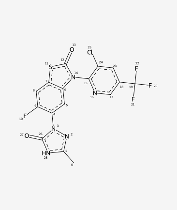 Cc1nn(-c2cc3c(cc2F)sc(=O)n3-c2ncc(C(F)(F)F)cc2Cl)c(=O)[nH]1